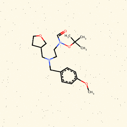 COc1ccc(CN(CCN(C=O)OC(C)(C)C)CC2CCOC2)cc1